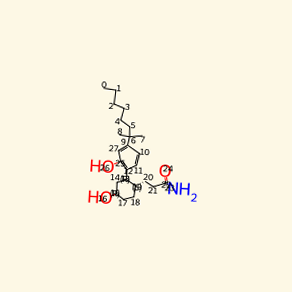 CCCCCCC(C)(C)c1ccc([C@@H]2C[C@H](O)CC[C@H]2CCC(N)=O)c(O)c1